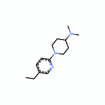 CCc1ccc(N2CCC(N(C)C)CC2)nc1